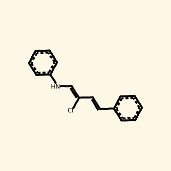 ClC(C=Cc1ccccc1)=CNc1ccccc1